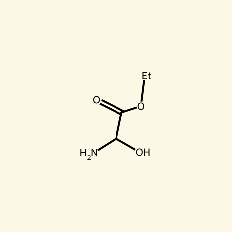 CCOC(=O)C(N)O